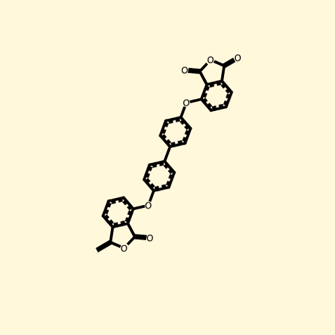 C=C1OC(=O)c2c(Oc3ccc(-c4ccc(Oc5cccc6c5C(=O)OC6=O)cc4)cc3)cccc21